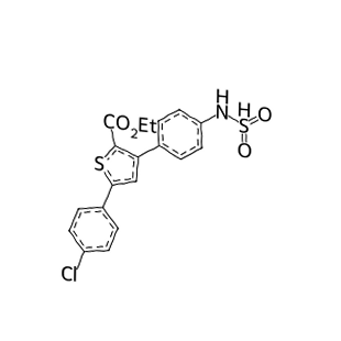 CCOC(=O)c1sc(-c2ccc(Cl)cc2)cc1-c1ccc(N[SH](=O)=O)cc1